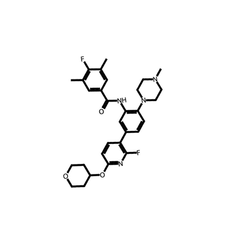 Cc1cc(C(=O)Nc2cc(-c3ccc(OC4CCOCC4)nc3F)ccc2N2CCN(C)CC2)cc(C)c1F